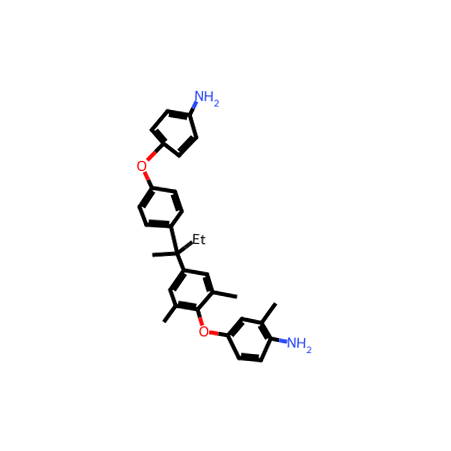 CCC(C)(c1ccc(Oc2ccc(N)cc2)cc1)c1cc(C)c(Oc2ccc(N)c(C)c2)c(C)c1